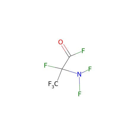 O=C(F)C(F)(N(F)F)C(F)(F)F